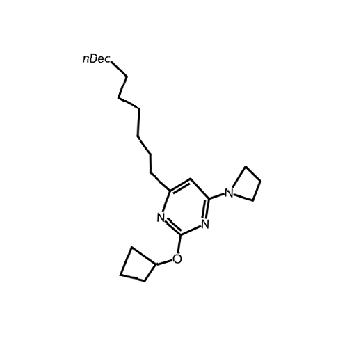 CCCCCCCCCCCCCCCCc1cc(N2CCC2)nc(OC2CCC2)n1